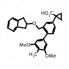 COc1cc(-c2ccc(C3(C(=O)O)CC3)cc2COC2Cc3ccccc3C2)cc(OC)c1C